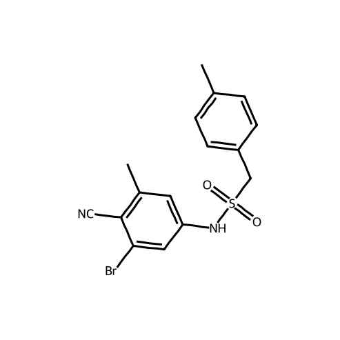 Cc1ccc(CS(=O)(=O)Nc2cc(C)c(C#N)c(Br)c2)cc1